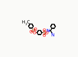 Cc1ccc(S(=O)(=O)Oc2ccc(S(=O)(=O)ON=C(C#N)c3ccccc3)cc2)cc1